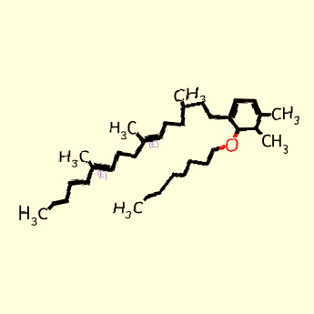 CCCCCCCCOC1C(CCC(C)CC/C=C(\C)CC/C=C(\C)CCCCC)=CC=C(C)C1C